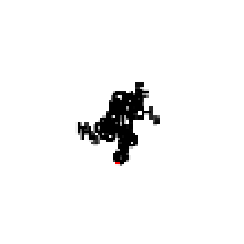 Cc1nc(N[C@H](C)c2cccc(C(F)F)c2F)c2cc3c(cc2n1)OC(C)(C)C(=O)N3C1CCN(C(=O)OCc2ccccc2)C1